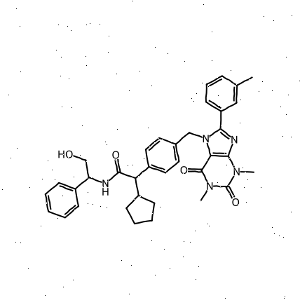 Cc1cccc(-c2nc3c(c(=O)n(C)c(=O)n3C)n2Cc2ccc(C(C(=O)NC(CO)c3ccccc3)C3CCCC3)cc2)c1